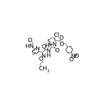 CCCON=C(C(=O)NC1C(=O)N2C(C(=O)OCc3ccc([N+](=O)[O-])cc3)=C(Cl)CS[C@@H]12)c1csc(NC=O)n1